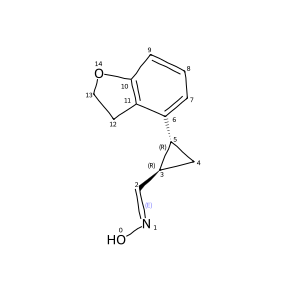 O/N=C/[C@@H]1C[C@H]1c1cccc2c1CCO2